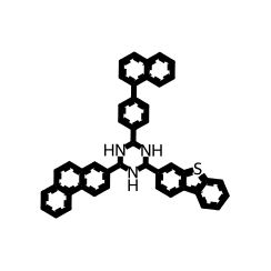 c1ccc2c(-c3ccc(C4NC(c5ccc6c(ccc7ccccc76)c5)NC(c5ccc6c(c5)sc5ccccc56)N4)cc3)cccc2c1